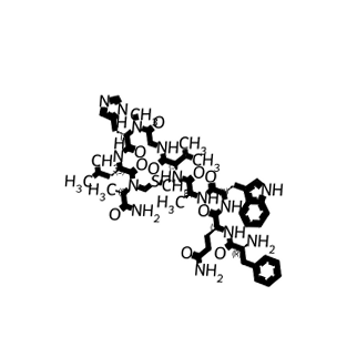 CSCN(C(=O)[C@H](CC(C)C)NC(=O)[C@H](Cc1cnc[nH]1)N(C)C(=O)CNC(=O)[C@@H](NC(=O)[C@H](C)NC(=O)[C@H](Cc1c[nH]c2ccccc12)NC(=O)[C@H](CCC(N)=O)NC(=O)[C@H](N)Cc1ccccc1)C(C)C)[C@@H](C)C(N)=O